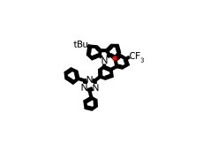 CC(C)(C)c1ccc2c(c1)c1ccccc1n2-c1cc(-c2nc(-c3ccccc3)nc(-c3ccccc3)n2)ccc1-c1ccc(C(F)(F)F)cc1